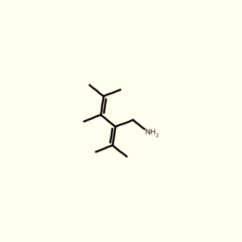 CC(C)=C(C)C(CN)=C(C)C